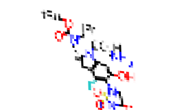 CC(C)CN(C[C@H]1Cc2c(cc(O)c(N3CC(=O)NS3(=O)=O)c2F)N1C(=O)O)C(=O)OC(C)(C)C.N